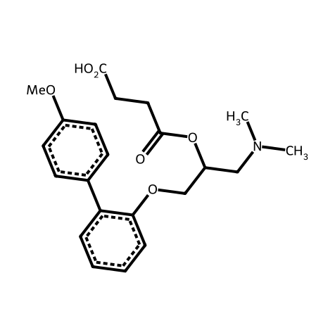 COc1ccc(-c2ccccc2OCC(CN(C)C)OC(=O)CCC(=O)O)cc1